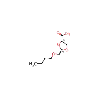 CCCCOC[C@@H]1OC[C@@H](C(=O)O)O1